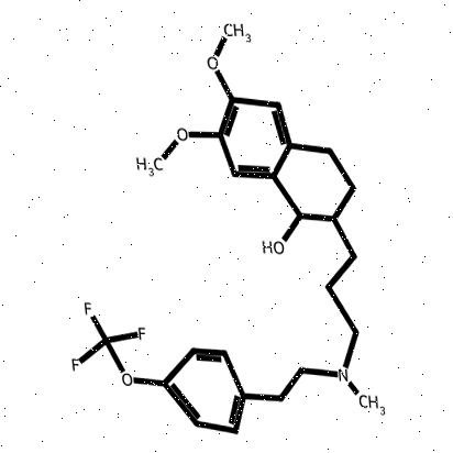 COc1cc2c(cc1OC)C(O)C(CCCN(C)CCc1ccc(OC(F)(F)F)cc1)CC2